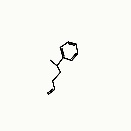 C=CCCC(C)c1ccccc1